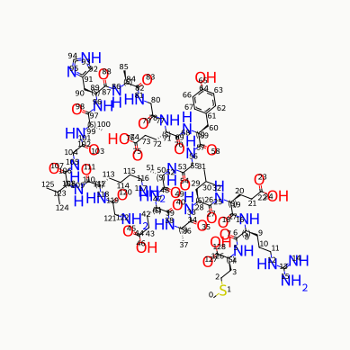 CSCC[C@H](NC(=O)[C@H](CCCNC(=N)N)NC(=O)[C@H](CCC(=O)O)NC(=O)[C@H](CC(C)C)NC(=O)[C@H](C)NC(=O)[C@H](CCC(=O)O)NC(=O)[C@H](C)NC(=O)CNC(=O)[C@H](Cc1ccc(O)cc1)NC(=O)[C@H](CCC(=O)O)NC(=O)CNC(=O)[C@H](C)NC(=O)[C@H](Cc1c[nH]cn1)NC(=O)[C@H](C)NC(=O)CNC(=O)[C@@H](NC(=O)[C@H](CCCCN)NC(=O)CN)C(C)C)C(=O)O